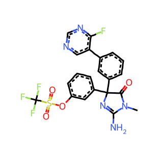 CN1C(=O)C(c2cccc(OS(=O)(=O)C(F)(F)F)c2)(c2cccc(-c3cncnc3F)c2)N=C1N